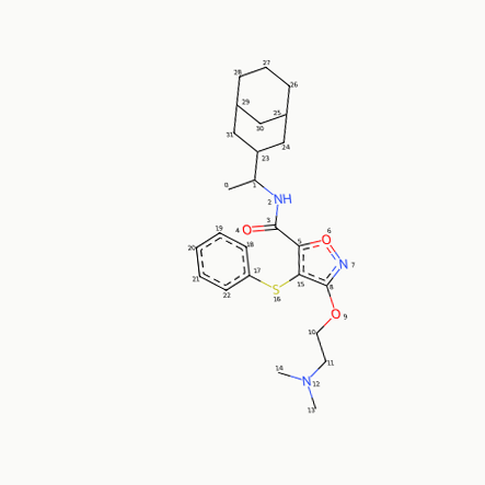 CC(NC(=O)c1onc(OCCN(C)C)c1Sc1ccccc1)C1CC2CCCC(C2)C1